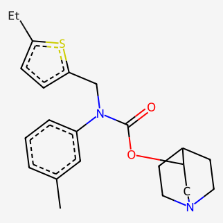 CCc1ccc(CN(C(=O)OC2CN3CCC2CC3)c2cccc(C)c2)s1